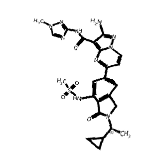 C[C@@H](C1CC1)N1Cc2cc(-c3ccn4nc(N)c(C(=O)Nc5ncn(C)n5)c4n3)cc(NS(C)(=O)=O)c2C1=O